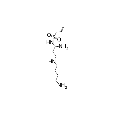 C=CCS(=O)(=O)NC(N)CCNCCCCN